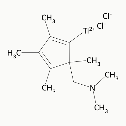 CC1=C(C)C(C)(CN(C)C)[C]([Ti+2])=C1C.[Cl-].[Cl-]